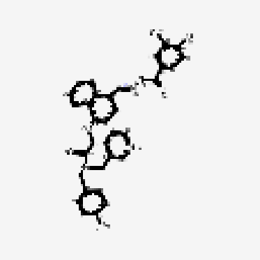 CC(C)c1ccc(CN(Cc2cccnc2)C(=O)COc2ccc(/C=N/NC(=O)c3ccc(O)c(Cl)c3)c3ccccc23)cc1